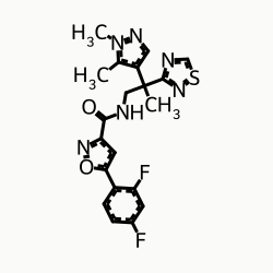 Cc1c(C(C)(CNC(=O)c2cc(-c3ccc(F)cc3F)on2)c2ncsn2)cnn1C